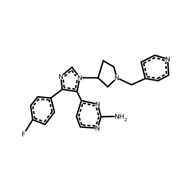 Nc1nccc(-c2c(-c3ccc(F)cc3)ncn2C2CCN(Cc3ccncc3)C2)n1